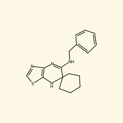 c1ccc(CNC2=Nc3ncsc3NC23CCCCC3)cc1